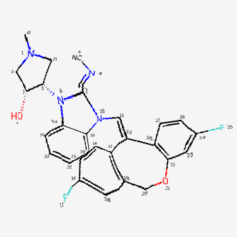 CN1C[C@@H](O)[C@@H](n2c(=NC#N)n(C=C3c4ccc(F)cc4COc4cc(F)ccc43)c3ccccc32)C1